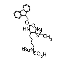 Cc1nnc(C(CCCCN(C(=O)O)C(C)(C)C)NC(=O)OCC2c3ccccc3-c3ccccc32)s1